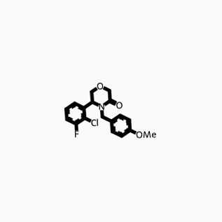 COc1ccc(CN2C(=O)COCC2c2cccc(F)c2Cl)cc1